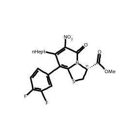 CCCCCCCc1c(-c2ccc(F)c(F)c2)c2n(c(=O)c1[N+](=O)[O-])[C@H](C(=O)OC)CS2